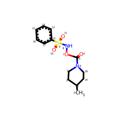 CC1CCN(C(=O)ONS(=O)(=O)c2ccccc2)CC1